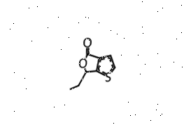 CCC1OC(=O)c2ccsc21